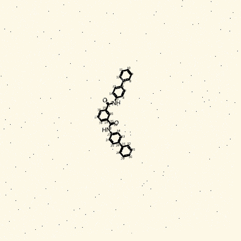 O=C(Nc1ccc(-c2ccccc2)cc1)c1cccc(C(=O)Nc2ccc(-c3ccccc3)cc2)c1